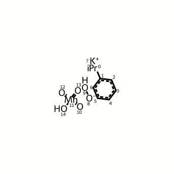 CC(C)c1ccccc1.[K+].[O-]O.[O]=[Mn](=[O])(=[O])[OH]